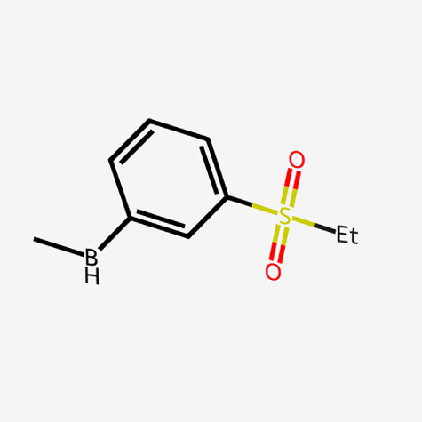 CBc1cccc(S(=O)(=O)CC)c1